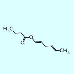 CC=CCC=COC(=O)CCC